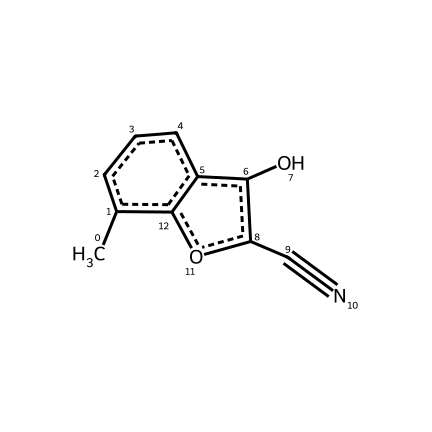 Cc1cccc2c(O)c(C#N)oc12